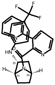 O=C(c1ncccc1-c1ncccn1)N1[C@@H]2CC[C@H]1[C@H](Nc1ccc(C(F)(F)F)cn1)C2